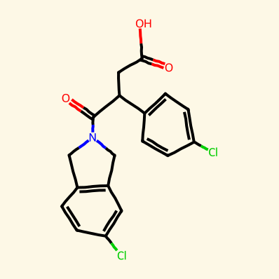 O=C(O)CC(C(=O)N1Cc2ccc(Cl)cc2C1)c1ccc(Cl)cc1